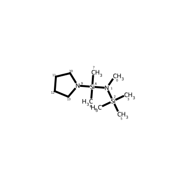 CN([Si](C)(C)C)[Si](C)(C)N1CCCC1